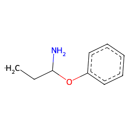 [CH2]CC(N)Oc1ccccc1